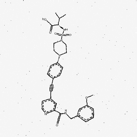 COc1cccc(CNC(=O)c2cc(C#Cc3ccc(N4CCN(S(=O)(=O)N[C@@H](C(=O)O)C(C)C)CC4)cc3)ccn2)c1